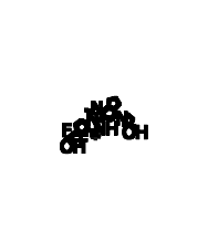 Cc1nc(N[C@H](C)c2cccc(C(F)(F)CO)c2F)c2cc(N3CCC(C)(O)C3)c3c(c2n1)CCC3